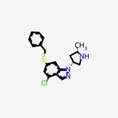 C[C@H]1C[C@@H](n2ncc3c(Cl)cc(SCc4ccccc4)cc32)CN1